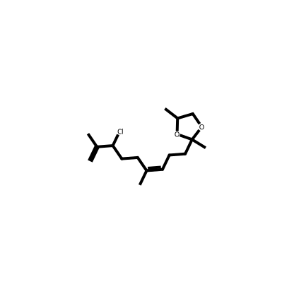 C=C(C)C(Cl)CCC(C)=CCCC1(C)OCC(C)O1